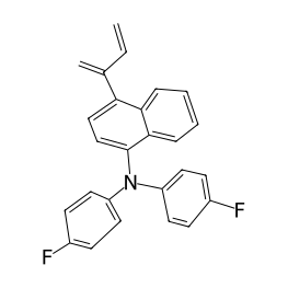 C=CC(=C)c1ccc(N(c2ccc(F)cc2)c2ccc(F)cc2)c2ccccc12